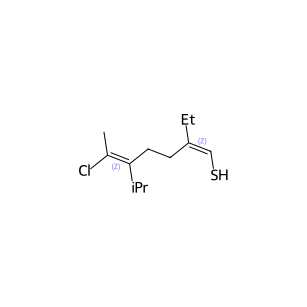 CC/C(=C/S)CC/C(=C(\C)Cl)C(C)C